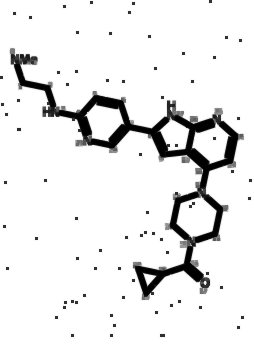 CNCCNc1ccc(-c2cc3c(N4CCN(C(=O)C5CC5)CC4)ccnc3[nH]2)cn1